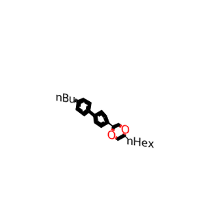 CCCCCC[C@@H]1CO[C@@H](c2ccc(-c3ccc(CCCC)cc3)cc2)CO1